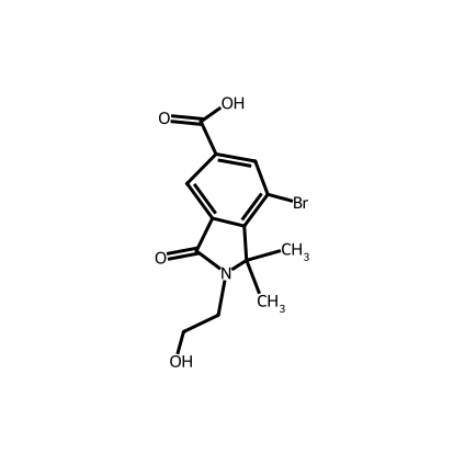 CC1(C)c2c(Br)cc(C(=O)O)cc2C(=O)N1CCO